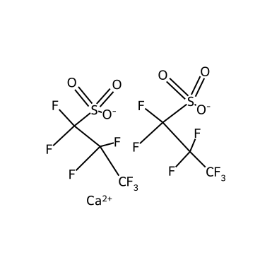 O=S(=O)([O-])C(F)(F)C(F)(F)C(F)(F)F.O=S(=O)([O-])C(F)(F)C(F)(F)C(F)(F)F.[Ca+2]